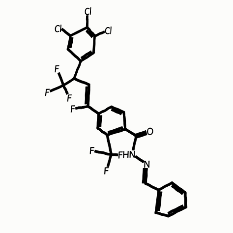 O=C(N/N=C/c1ccccc1)c1ccc(/C(F)=C/C(c2cc(Cl)c(Cl)c(Cl)c2)C(F)(F)F)cc1C(F)(F)F